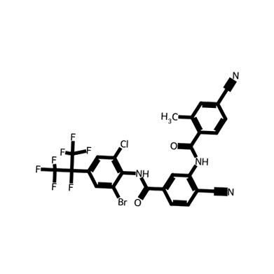 Cc1cc(C#N)ccc1C(=O)Nc1cc(C(=O)Nc2c(Cl)cc(C(F)(C(F)(F)F)C(F)(F)F)cc2Br)ccc1C#N